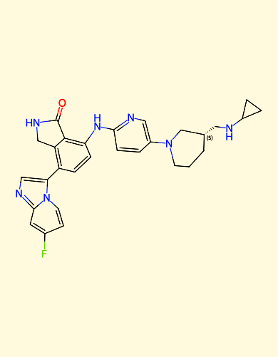 O=C1NCc2c(-c3cnc4cc(F)ccn34)ccc(Nc3ccc(N4CCC[C@@H](CNC5CC5)C4)cn3)c21